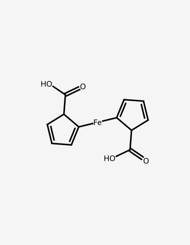 O=C(O)C1C=CC=[C]1[Fe][C]1=CC=CC1C(=O)O